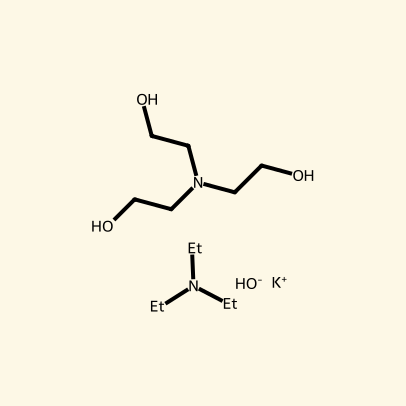 CCN(CC)CC.OCCN(CCO)CCO.[K+].[OH-]